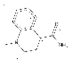 CN1CCC(C(N)=O)c2ccccc21